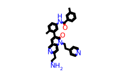 Cc1cccc(C(=O)Nc2ccc(C)c(-c3cc4cnc(CCN)cc4n(CCc4ccncc4)c3=O)c2)c1